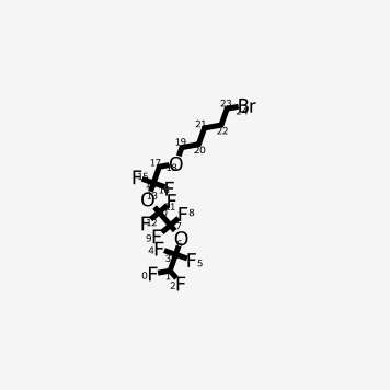 FC(F)C(F)(F)OC(F)(F)C(F)(F)OC(F)(F)COCCCCCBr